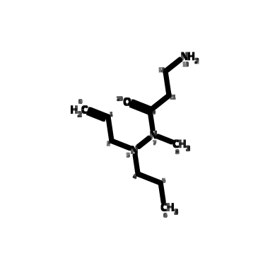 C=CCN(CCC)N(C)C(=O)CCN